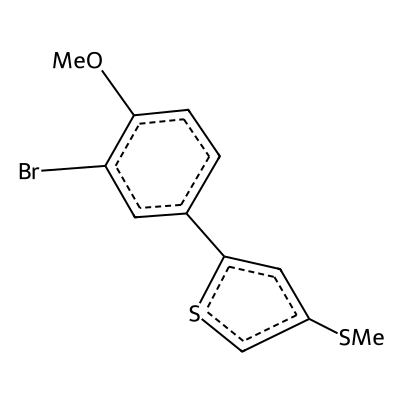 COc1ccc(-c2cc(SC)cs2)cc1Br